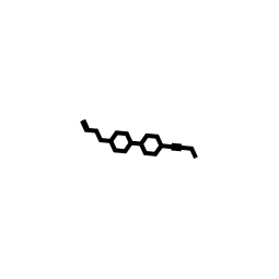 C=CCCC1CCC(C2CCC(C#CCC)CC2)CC1